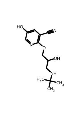 CC(C)(C)NCC(O)COc1ncc(O)cc1C#N